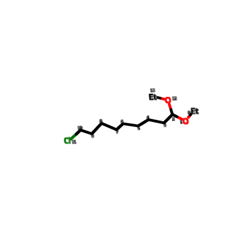 CCOC(CCCCCCCCCl)OCC